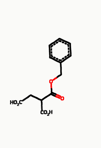 O=C(O)CC(C(=O)O)C(=O)OCc1ccccc1